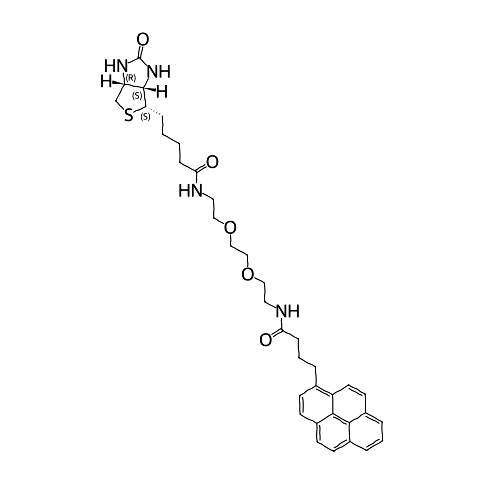 O=C(CCCC[C@@H]1SC[C@@H]2NC(=O)N[C@@H]21)NCCOCCOCCNC(=O)CCCc1ccc2ccc3cccc4ccc1c2c34